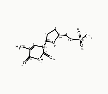 Cc1cn([C@H]2CC[C@@H](COS(C)(=O)=O)O2)c(=O)[nH]c1=O